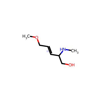 CNC(/C=C/COC)CO